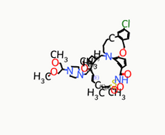 COCC(COC)N1CCN(C[C@]2(OC)/C=C/C[C@H](C)[C@@H](C)S(=O)(=O)NC(=O)c3ccc4c(c3)N(CCCCc3cc(Cl)ccc3CO4)C[C@@H]3CC[C@H]32)CC1